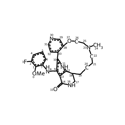 COc1c(F)cccc1Nc1c2[nH]c3c1C(=O)NCC3CCCCN(C)CCOc1cnccc1-2